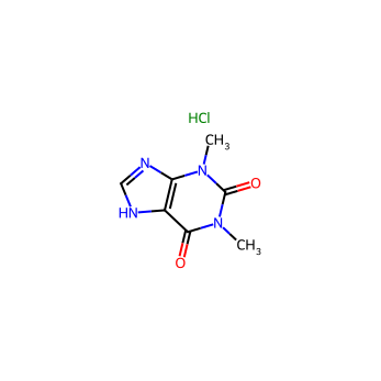 Cl.Cn1c(=O)c2[nH]cnc2n(C)c1=O